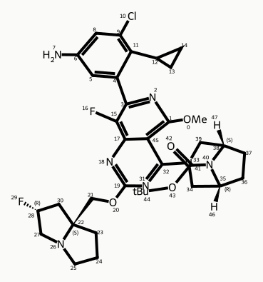 COc1nc(-c2cc(N)cc(Cl)c2C2CC2)c(F)c2nc(OC[C@@]34CCCN3C[C@H](F)C4)nc(N3C[C@H]4CC[C@@H](C3)N4C(=O)OC(C)(C)C)c12